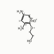 Cl.Nc1cnc(OCCO)c(N)c1